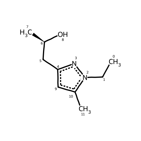 CCn1nc(C[C@@H](C)O)cc1C